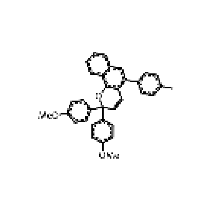 COc1ccc(C2(c3ccc(OC)cc3)C=Cc3c(-c4ccc(C)cc4)cc4ccccc4c3O2)cc1